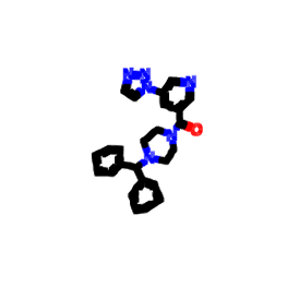 O=C(c1cncc(-n2ccnn2)c1)N1CCN(C(c2ccccc2)c2ccccc2)CC1